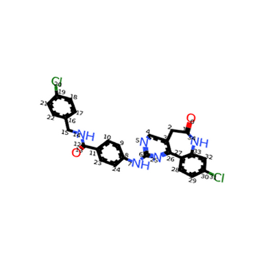 O=C1Cc2cnc(Nc3ccc(C(=O)NCc4ccc(Cl)cc4)cc3)nc2-c2ccc(Cl)cc2N1